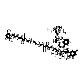 CC(C)(C)[C@H](c1cc(-c2cc(F)ccc2F)cn1Cc1ccccc1)N(CCCNC(=O)OCC[Si](C)(C)C)C(=O)CSCCC(=O)NCCOCCOCCNC(=O)CCCCCN1C(=O)C=CC1=O